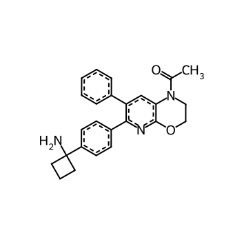 CC(=O)N1CCOc2nc(-c3ccc(C4(N)CCC4)cc3)c(-c3ccccc3)cc21